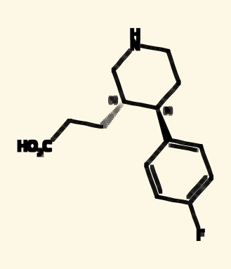 O=C(O)CC[C@@H]1CNCC[C@H]1c1ccc(F)cc1